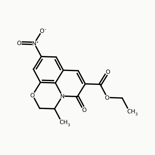 CCOC(=O)c1cc2cc([N+](=O)[O-])cc3c2n(c1=O)C(C)CO3